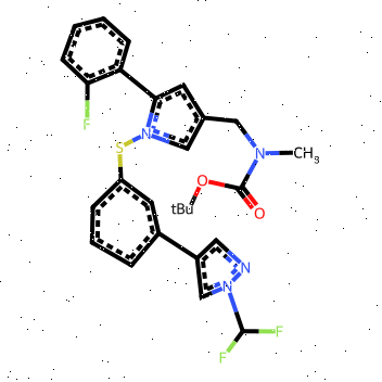 CN(Cc1cc(-c2ccccc2F)n(Sc2cccc(-c3cnn(C(F)F)c3)c2)c1)C(=O)OC(C)(C)C